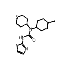 CC1CCC(N(C(=O)Nc2nccs2)C2CCSCC2)CC1